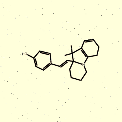 CC1(C)C2=C(CCC=C2)N2CCCCC21C=Cc1ccc(O)cc1